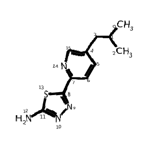 CC(C)Cc1ccc(-c2nnc(N)s2)nc1